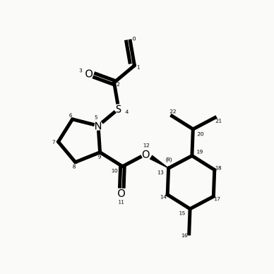 C=CC(=O)SN1CCCC1C(=O)O[C@@H]1CC(C)CCC1C(C)C